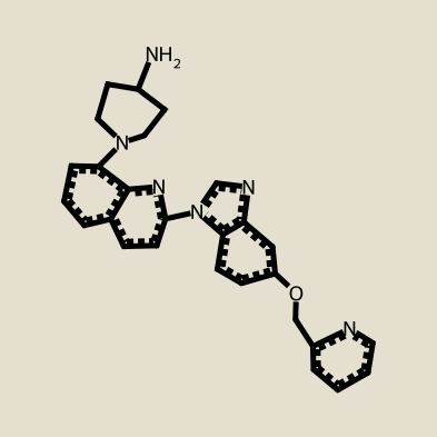 NC1CCN(c2cccc3ccc(-n4cnc5cc(OCc6ccccn6)ccc54)nc23)CC1